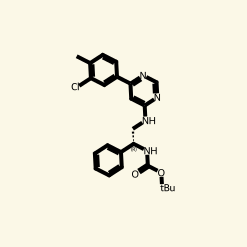 Cc1ccc(-c2cc(NC[C@H](NC(=O)OC(C)(C)C)c3ccccc3)ncn2)cc1Cl